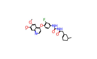 COc1cc2nccc(Oc3ccc(NC(=O)NC(=O)CC4=CCCC(C)C4)cc3F)c2cc1OC